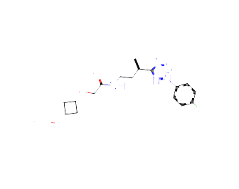 C=C(CCNC(=O)CO[C@H]1C[C@@H](OC(F)(F)F)C1)c1nnn(-c2ccc(Cl)cc2)n1